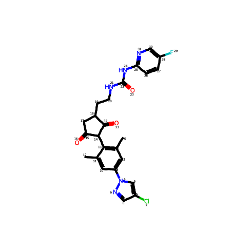 Cc1cc(-n2cc(Cl)cn2)cc(C)c1C1C(=O)CC(CCNC(=O)Nc2ccc(F)cn2)C1=O